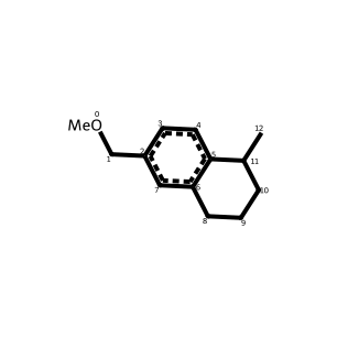 COCc1ccc2c(c1)CCCC2C